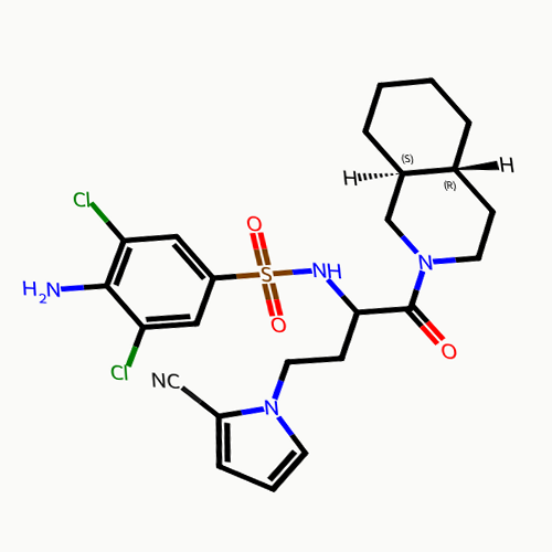 N#Cc1cccn1CCC(NS(=O)(=O)c1cc(Cl)c(N)c(Cl)c1)C(=O)N1CC[C@H]2CCCC[C@@H]2C1